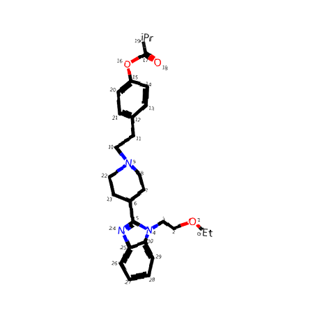 CCOCCn1c(C2CCN(CCc3ccc(OC(=O)C(C)C)cc3)CC2)nc2ccccc21